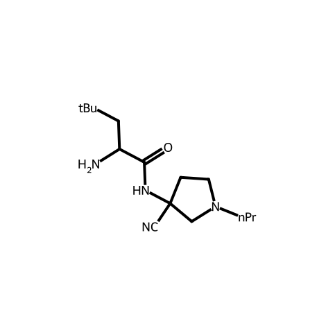 CCCN1CCC(C#N)(NC(=O)C(N)CC(C)(C)C)C1